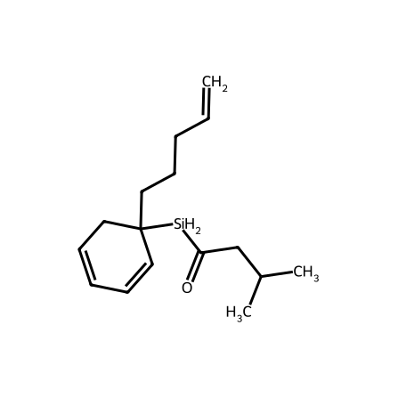 C=CCCCC1([SiH2]C(=O)CC(C)C)C=CC=CC1